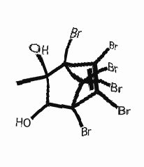 CC1(O)C(O)C2(Br)C(Br)=C(Br)C1(Br)C2(Br)Br